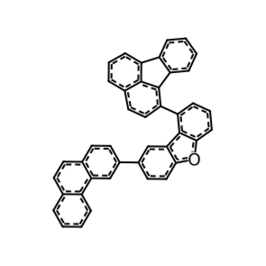 c1ccc2c(c1)-c1cccc3ccc(-c4cccc5oc6ccc(-c7ccc8ccc9ccccc9c8c7)cc6c45)c-2c13